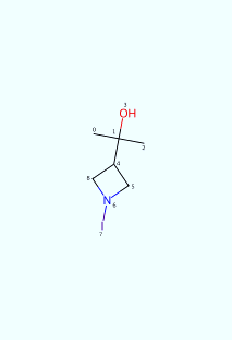 CC(C)(O)C1CN(I)C1